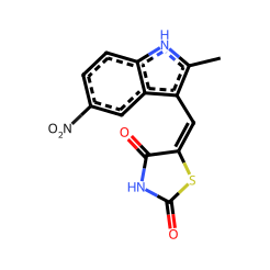 Cc1[nH]c2ccc([N+](=O)[O-])cc2c1C=C1SC(=O)NC1=O